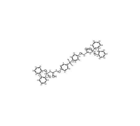 CC(C)(c1ccc(OCC(O)CP2(=O)Oc3ccccc3-c3ccccc32)cc1)c1ccc(OCC(O)CP2(=O)Oc3ccccc3-c3ccccc32)cc1